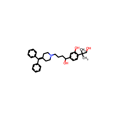 CC(C)(CO)c1ccc(C(O)CCCN2CCC(=C(c3ccccc3)c3ccccc3)CC2)cc1O